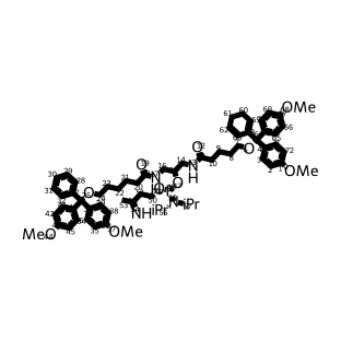 COc1ccc(C(OCCCCC(=O)NCC(CNC(=O)CCCCCOC(c2ccccc2)(c2ccc(OC)cc2)c2ccc(OC)cc2)OP(OCCC(C)=N)N(C(C)C)C(C)C)(C2=CCCC=C2)c2ccc(OC)cc2)cc1